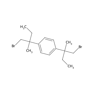 CCC(C)(CBr)c1ccc(C(C)(CC)CBr)cc1